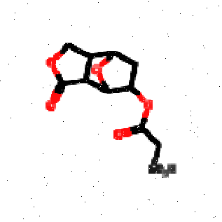 O=C(CS(=O)(=O)O)OC1CC2OC1C1C(=O)OCC21